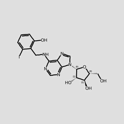 OC[C@H]1O[C@@H](n2cnc3c(NCc4c(O)cccc4I)ncnc32)[C@@H](O)[C@@H]1O